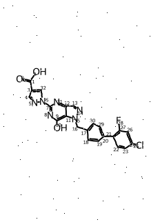 O=C(O)c1cnn(-c2nc(O)c3c(cnn3Cc3ccc(-c4ccc(Cl)cc4F)cc3)n2)c1